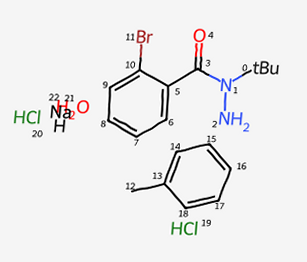 CC(C)(C)N(N)C(=O)c1ccccc1Br.Cc1ccccc1.Cl.Cl.O.[NaH]